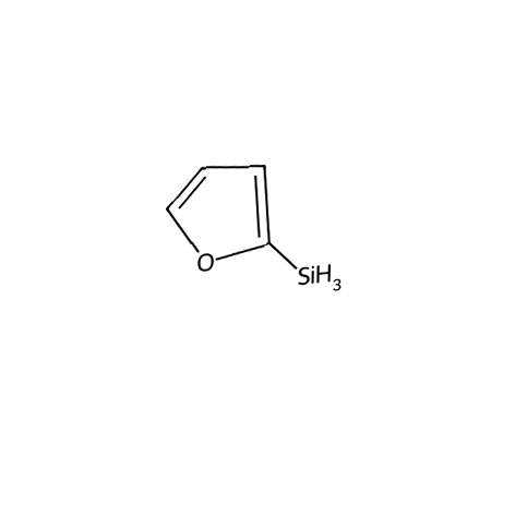 [SiH3]c1ccco1